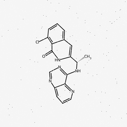 C[C@H](Nc1ncnc2cccnc12)c1cc2cccc(Cl)c2c(=O)[nH]1